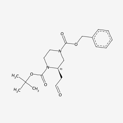 CC(C)(C)OC(=O)N1CCN(C(=O)OCc2ccccc2)C[C@H]1CC=O